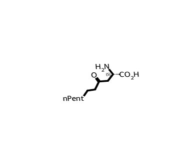 CCCCCCCC(=O)C[C@H](N)C(=O)O